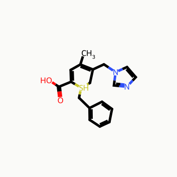 CC1=C(Cn2ccnc2)C[SH](Cc2ccccc2)C(C(=O)O)=C1